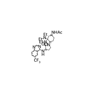 CCN(CC)C1(N(CC)CC)C[C@H](NC(C)=O)CC[C@@H]1N1CC[C@H](Nc2ncnc3ccc(C(F)(F)F)cc23)C1=O